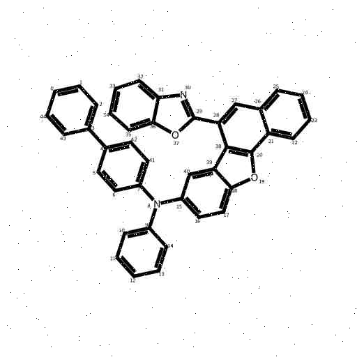 c1ccc(-c2ccc(N(c3ccccc3)c3ccc4oc5c6ccccc6cc(-c6nc7ccccc7o6)c5c4c3)cc2)cc1